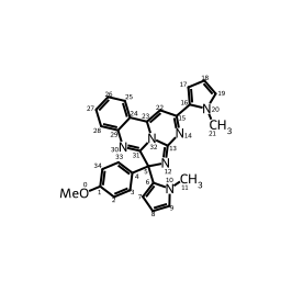 COc1ccc(C2(c3cccn3C)N=C3N=C(c4cccn4C)C=C4c5ccccc5N=C2N43)cc1